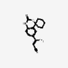 C/C(=C\C#N)c1ccc2c(c1)C1(CCCCC1)OC(=O)N2